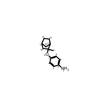 CC1(Oc2ccc(N)cc2)CC2CCC1C2